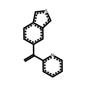 C=C(c1ccc2cscc2c1)c1ccccn1